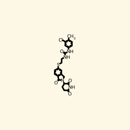 Cc1ccc(NC(=O)NCCSc2ccc3c(c2)CN(C2CCC(=O)NC2=O)C3=O)cc1Cl